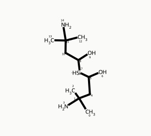 CC(C)(N)CC(O)[SiH]C(O)CC(C)(C)N